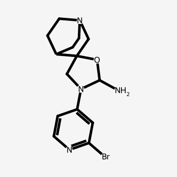 NC1OC2(CN3CCC2CC3)CN1c1ccnc(Br)c1